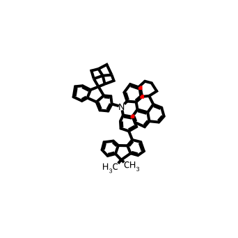 CC1(C)c2ccccc2-c2c(-c3ccc(N(c4ccc5c(c4)C4(c6ccccc6-5)C5CC6CC7CC4C675)c4ccccc4-c4cccc5cccc(C6CCCCC6)c45)cc3)cccc21